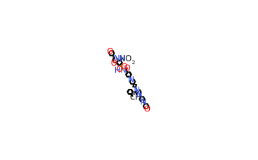 Cc1ccccc1[C@@H]1CN(C2CCN(C3CCOCC3)CC2)CCN1C1CC2(CCN(c3ccc(C(=O)NS(=O)(=O)c4cc5c(c([N+](=O)[O-])c4)N[C@H](C4CCOCC4)CO5)cc3)CC2)C1